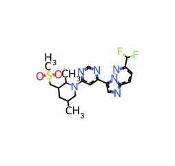 CC1CC(CS(C)(=O)=O)C(C)N(c2cc(-c3cnc4ccc(C(F)F)nn34)ncn2)C1